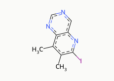 Cc1c(I)nc2cncnc2c1C